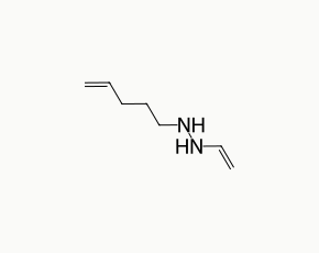 C=CCCCNNC=C